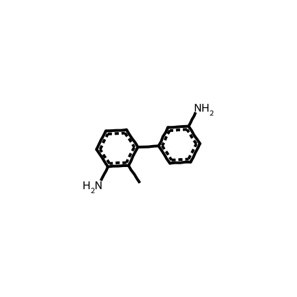 Cc1c(N)cccc1-c1cccc(N)c1